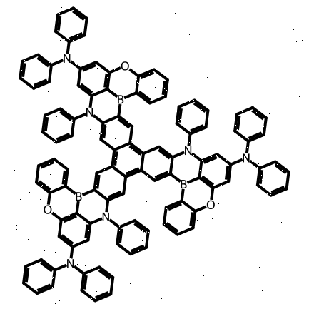 c1ccc(N(c2ccccc2)c2cc3c4c(c2)N(c2ccccc2)c2cc5c(cc2B4c2ccccc2O3)c2cc3c(cc2c2cc4c(cc52)B2c5ccccc5Oc5cc(N(c6ccccc6)c6ccccc6)cc(c52)N4c2ccccc2)B2c4ccccc4Oc4cc(N(c5ccccc5)c5ccccc5)cc(c42)N3c2ccccc2)cc1